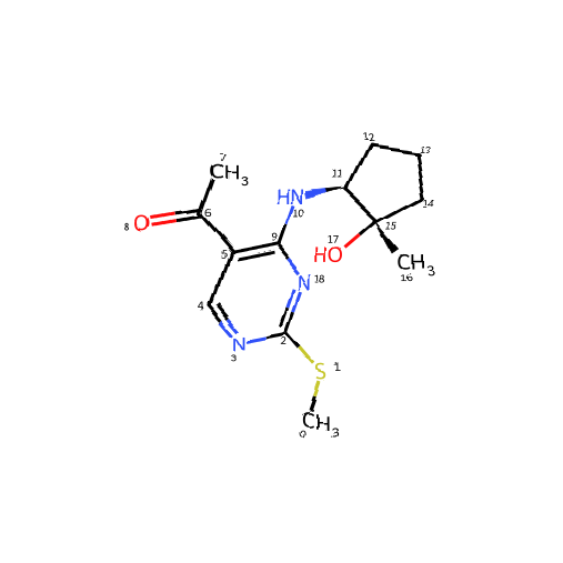 CSc1ncc(C(C)=O)c(N[C@H]2CCC[C@]2(C)O)n1